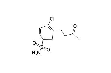 CC(=O)CCc1cc(S(N)(=O)=O)ccc1Cl